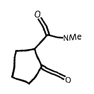 CNC(=O)C1CCCC1=O